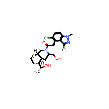 C[C@H]1[C@H]2CCC[C@@H]([C@H](O)C(F)(F)F)[C@@H]2CC(CO)N1C(=O)Cc1c(Cl)ccc2c1c(Cl)nn2C